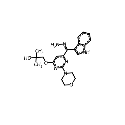 CC(C)(O)COc1cc(C(=NN)c2c[nH]c3ccccc23)nc(N2CCOCC2)n1